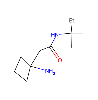 CCC(C)(C)NC(=O)CC1(N)CCC1